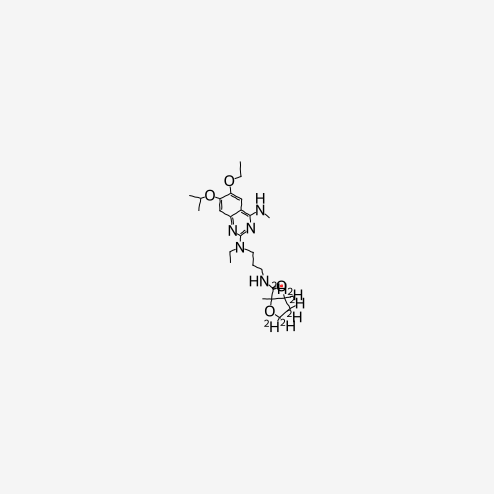 [2H]C1([2H])OC(C)(C(=O)NCCCN(CC)c2nc(NC)c3cc(OCC)c(OC(C)C)cc3n2)C([2H])([2H])C1([2H])[2H]